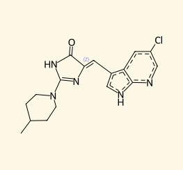 CC1CCN(C2=N/C(=C\c3c[nH]c4ncc(Cl)cc34)C(=O)N2)CC1